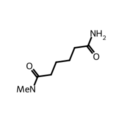 CNC(=O)CCCCC(N)=O